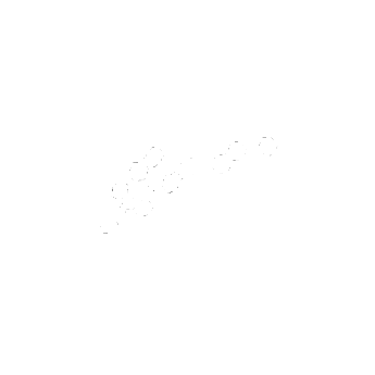 c1ccc(-c2ccc3cc(-c4ccc5cc(N(c6cccc7ccccc67)c6cccc7c6c6ccccc6n7-c6ccccc6)ccc5c4)ccc3c2)cc1